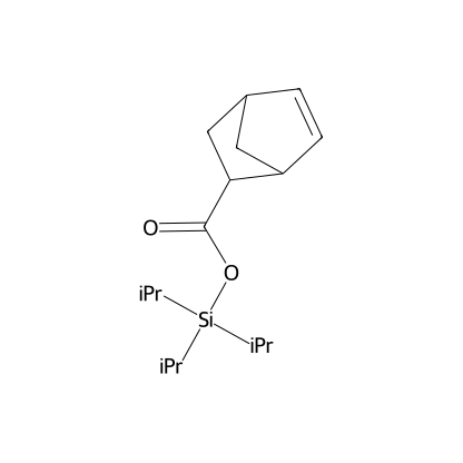 CC(C)[Si](OC(=O)C1CC2C=CC1C2)(C(C)C)C(C)C